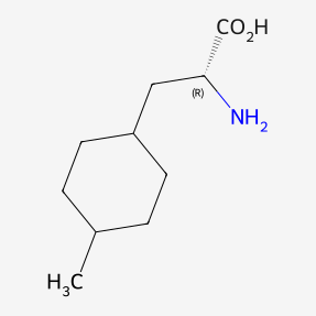 CC1CCC(C[C@@H](N)C(=O)O)CC1